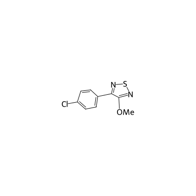 COc1nsnc1-c1ccc(Cl)cc1